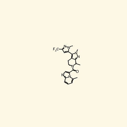 Cc1cccc2ncc(C(=O)N3CCc4c(nn(C)c4-c4cc(C(F)(F)F)nn4C)C3C)n12